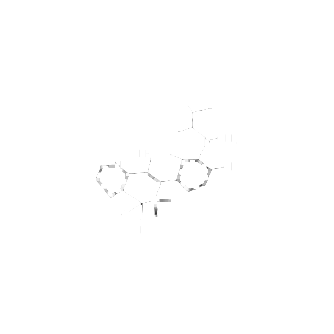 CN(c1c(Cl)ccc(C2=C(O)c3ncccc3C(C)(C)S2(=O)=O)c1Cl)C(O)C(F)F